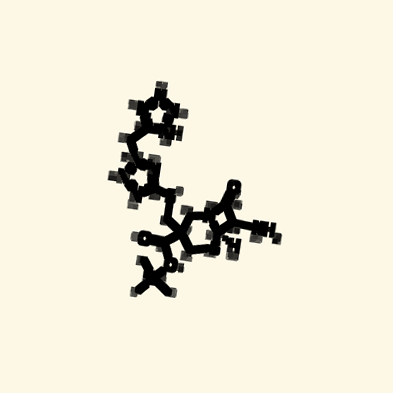 C[Si](C)(C)OC(=O)C1(CSc2nnn(Cc3nnn[nH]3)n2)CS[C@@H]2C(N)C(=O)N2C1